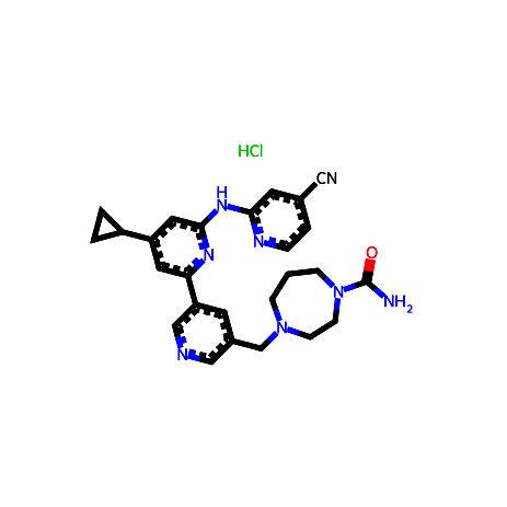 Cl.N#Cc1ccnc(Nc2cc(C3CC3)cc(-c3cncc(CN4CCCN(C(N)=O)CC4)c3)n2)c1